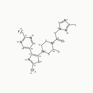 Cc1ncn(CC(=O)N2CCN(c3sc(C(F)(F)F)nc3-c3cnc(C(F)(F)F)nc3)CC2C)n1